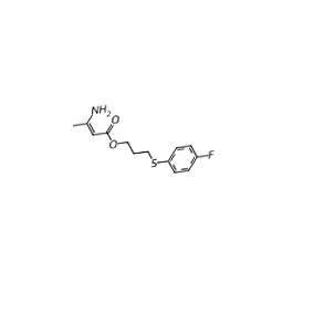 CC(N)=CC(=O)OCCCSc1ccc(F)cc1